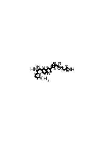 Cc1cccc(-c2[nH]cnc2-c2ccc3ncc(-c4csc(C(=O)OCCC5CNC5)c4)cc3c2)n1